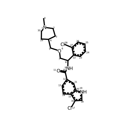 CN1CCC(COCC(NC(=O)c2ccc3c(Cl)c[nH]c3c2)c2ccccc2Cl)CC1